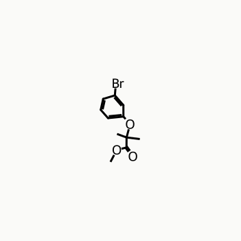 COC(=O)C(C)(C)Oc1cccc(Br)c1